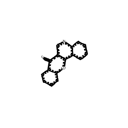 O=c1c2ccccc2oc2c1cnc1ccccc12